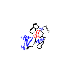 CN(C(=O)C/C(=C/c1ccccc1)C(=O)N[C@@H](Cc1c[nH]cn1)C(=O)NN)c1cccc2ccccc12